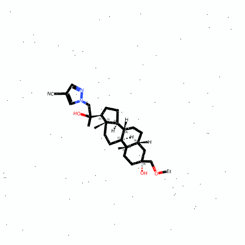 CCOC[C@@]1(O)CC[C@@]2(C)[C@H](CC[C@@H]3[C@@H]2CC[C@]2(C)[C@@H](C(C)(O)Cn4cc(C#N)cn4)CC[C@@H]32)C1